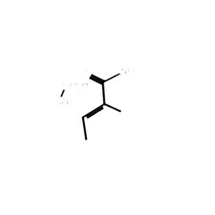 C/C=C(\C)C(N)=O.O=C(O)S